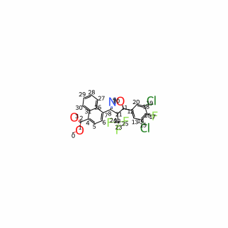 COC(=O)c1ccc(C2=NOC(c3cc(Cl)c(F)c(Cl)c3)C2C(F)(F)F)c2ccccc12